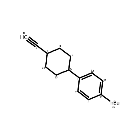 C#CC1CCC(c2ccc(CCCC)cc2)CC1